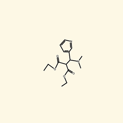 CCOC(=O)C(C(=O)OCC)C(c1cccnc1)N(C)C